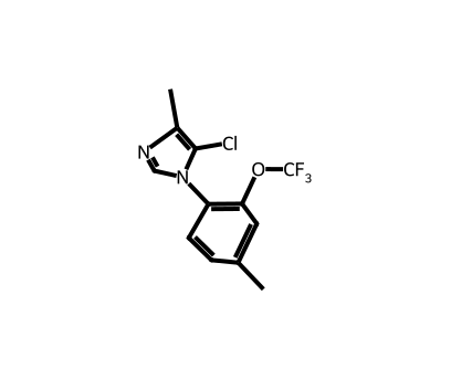 Cc1ccc(-n2cnc(C)c2Cl)c(OC(F)(F)F)c1